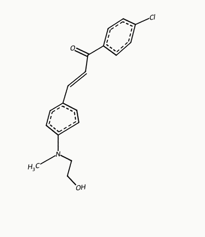 CN(CCO)c1ccc(C=CC(=O)c2ccc(Cl)cc2)cc1